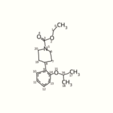 CCOC(=O)N1CCC(c2ccccc2OC(C)C)CC1